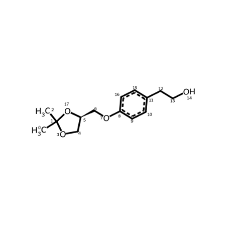 CC1(C)OC[C@H](COc2ccc(CCO)cc2)O1